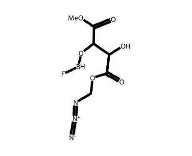 COC(=O)C(OBF)C(O)C(=O)OCN=[N+]=[N-]